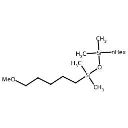 CCCCCC[Si](C)(C)O[Si](C)(C)CCCCCOC